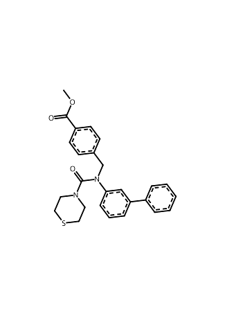 COC(=O)c1ccc(CN(C(=O)N2CCSCC2)c2cccc(-c3ccccc3)c2)cc1